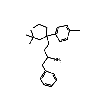 Cc1ccc(C2(CCC(N)Cc3ccccc3)CCOC(C)(C)C2)cc1